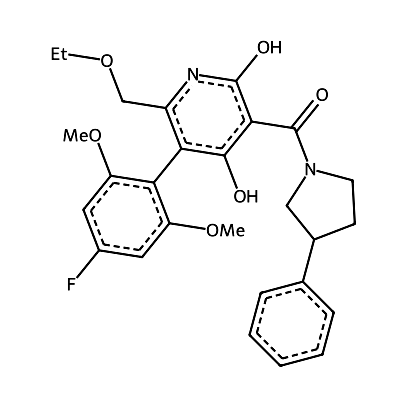 CCOCc1nc(O)c(C(=O)N2CCC(c3ccccc3)C2)c(O)c1-c1c(OC)cc(F)cc1OC